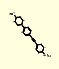 CCCCCCC1CC=C(C#Cc2ccc(C3CCC(CCCC)CC3)cc2)CC1